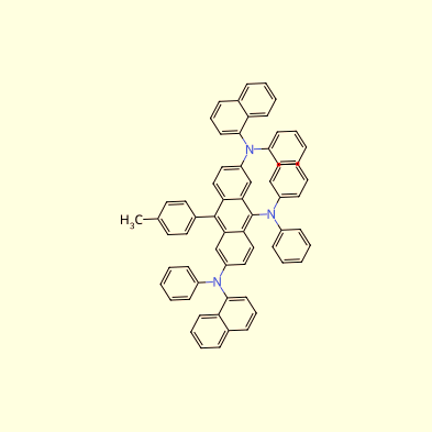 Cc1ccc(-c2c3cc(N(c4ccccc4)c4cccc5ccccc45)ccc3c(N(c3ccccc3)c3ccccc3)c3cc(N(c4ccccc4)c4cccc5ccccc45)ccc23)cc1